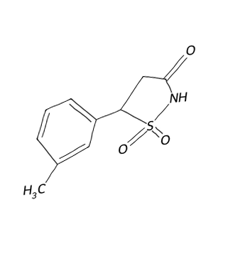 Cc1cccc(C2CC(=O)NS2(=O)=O)c1